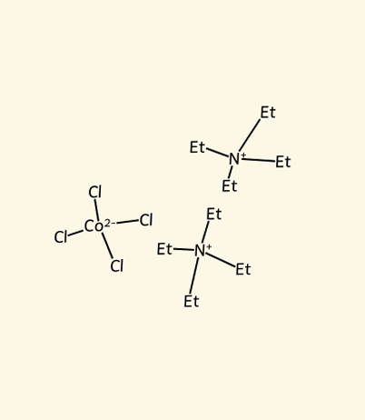 CC[N+](CC)(CC)CC.CC[N+](CC)(CC)CC.[Cl][Co-2]([Cl])([Cl])[Cl]